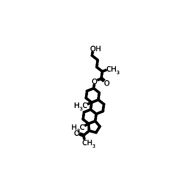 CC(=O)C1CCC2C3CCC4CC(OC(=O)C(C)CCCO)CCC4(C)C3CCC12C